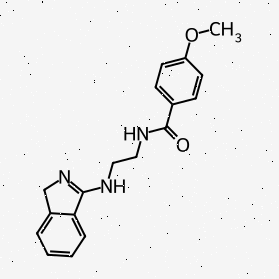 COc1ccc(C(=O)NCCNC2=NCc3ccccc32)cc1